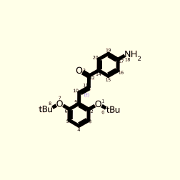 CC(C)(C)Oc1cccc(OC(C)(C)C)c1/C=C/C(=O)c1ccc(N)cc1